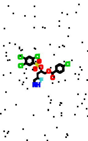 N=C[C@H](F)C[C@H](COC(=O)c1ccc(Cl)cc1)OS(=O)(=O)c1cc(Cl)c(Cl)cc1Cl